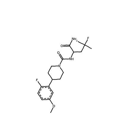 COc1ccc(F)c(C2CCN(C(=O)NC(CC(C)(C)F)C(N)=O)CC2)c1